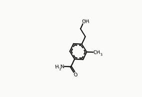 Cc1cc(C(N)=O)ccc1CCO